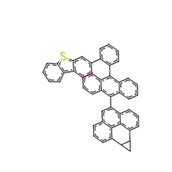 c1ccc(-c2c3ccccc3c(-c3cc4cccc5c4c4c(cccc34)C3CC53)c3ccccc23)c(-c2ccc3c(c2)sc2ccccc23)c1